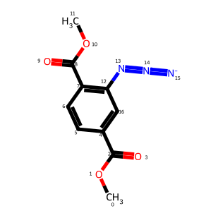 COC(=O)c1ccc(C(=O)OC)c(N=[N+]=[N-])c1